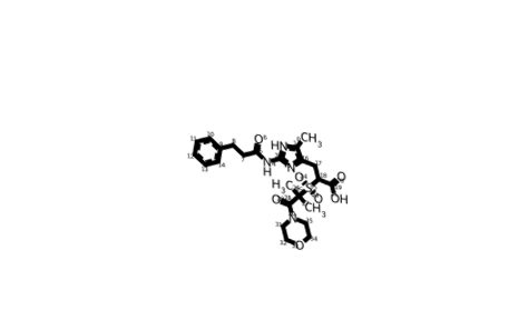 Cc1[nH]c(NC(=O)CCc2ccccc2)nc1CC(C(=O)O)S(=O)(=O)C(C)(C)C(=O)N1CCOCC1